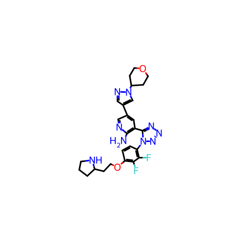 Nc1ncc(-c2cnn(C3CCOCC3)c2)cc1-c1nnnn1-c1ccc(OCCC2CCCN2)c(F)c1F